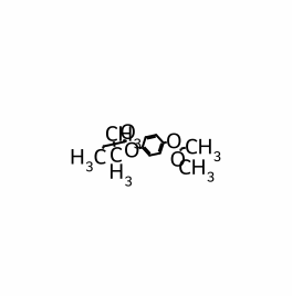 CCC(C)(C)C(=O)Oc1ccc(OC(C)OC)cc1